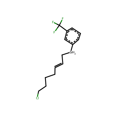 FC(F)(F)c1cccc([SiH2]CC=CCCCCCl)c1